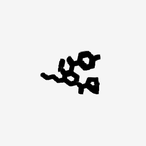 C=NC1=C(C(=C)c2ccc(C)cc2)CN(C(=C)C2=C3CN3CC2)CC1CCCC